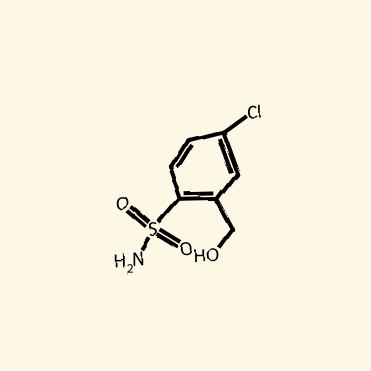 NS(=O)(=O)c1ccc(Cl)cc1CO